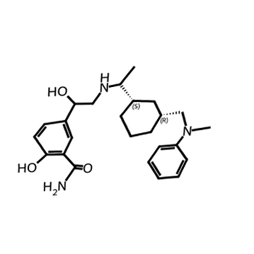 CC(NCC(O)c1ccc(O)c(C(N)=O)c1)[C@H]1CCC[C@@H](CN(C)c2ccccc2)C1